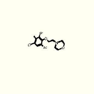 CC(=O)c1cc(Cl)c(C)c(Br)c1OCCN1CCOCC1